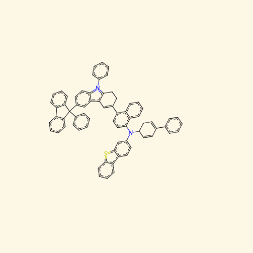 C1=CC(N(c2ccc3c(c2)sc2ccccc23)c2ccc(C3=Cc4c(n(-c5ccccc5)c5ccc(C6(c7ccccc7)c7ccccc7-c7ccccc76)cc45)CC3)c3ccccc23)CC=C1c1ccccc1